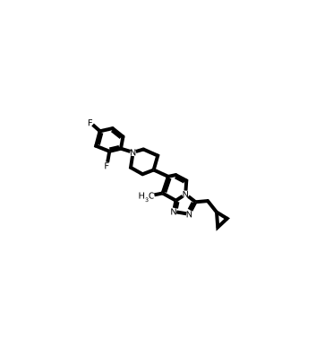 Cc1c(C2CCN(c3ccc(F)cc3F)CC2)ccn2c(CC3CC3)nnc12